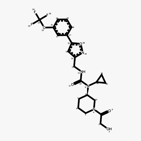 O=C(CO)N1CCC[C@@H](N(C(=O)NCc2cc(-c3cccc(OC(F)(F)F)c3)on2)C2CC2)C1